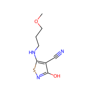 COCCCNc1snc(O)c1C#N